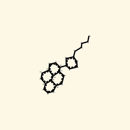 CCCCCc1cccc(-c2ccc3ccc4cccc5ccc2c3c45)c1